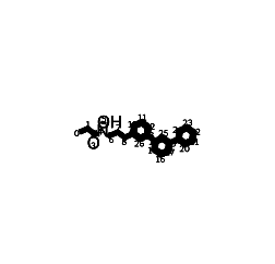 CCC(=O)N(O)CCCc1cccc(-c2cccc(-c3ccccc3)c2)c1